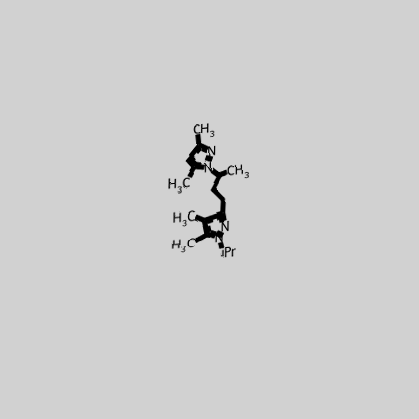 Cc1cc(C)n(C(C)CCc2nn(C(C)C)c(C)c2C)n1